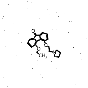 CCOc1cccc2c1-c1c(OCCN3CCCC3)cccc1C2=O